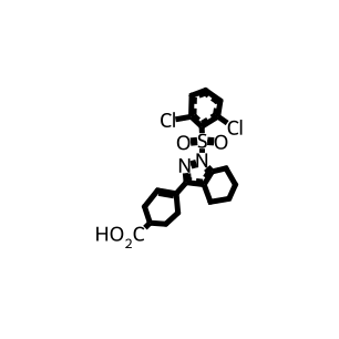 O=C(O)C1CC=C(c2nn(S(=O)(=O)c3c(Cl)cccc3Cl)c3c2CCCC3)CC1